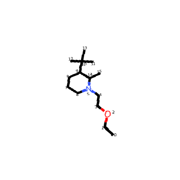 CCOCCN1CCCC(C(C)(C)C)C1C